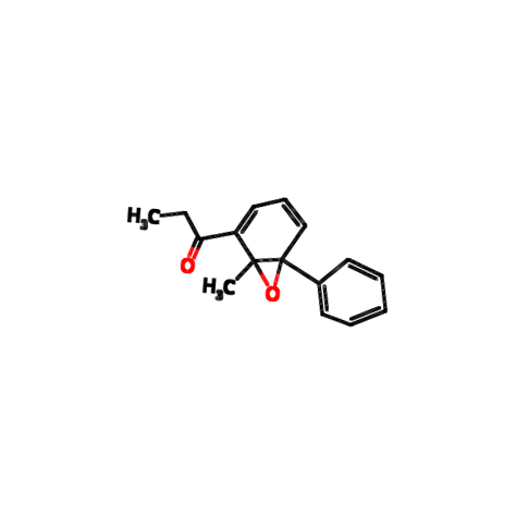 CCC(=O)C1=CC=CC2(c3ccccc3)OC12C